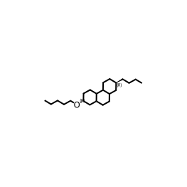 CCCCCO[C@@H]1CCC2C(CCC3C[C@H](CCCC)CCC32)C1